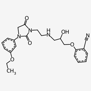 CCOc1cccc(N2CC(=O)N(CCNCC(O)COc3ccccc3C#N)C2=O)c1